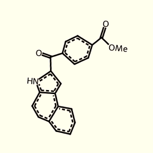 COC(=O)c1ccc(C(=O)c2cc3c(ccc4ccccc43)[nH]2)cc1